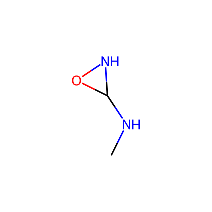 CNC1NO1